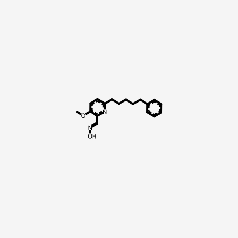 COc1ccc(CCCCCc2ccccc2)nc1C=NO